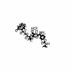 CC(C)NC(=O)Oc1ccc(C(N)C(=O)N[C@@H]2C(=O)N3[C@@H]2SC(C)(C)[C@@H]3C(=O)OCOC(=O)[C@@H]2N3C(=O)C[C@H]3S(=O)(=O)C2(C)C)cc1.Cl